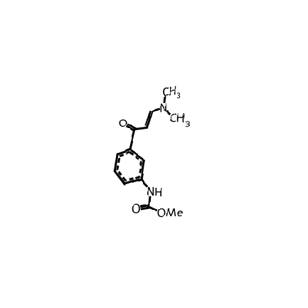 COC(=O)Nc1cccc(C(=O)/C=C/N(C)C)c1